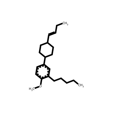 CC/C=C/C1CCC(c2ccc(OC)c(CCCCC)c2)CC1